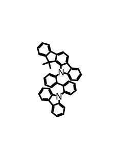 CC1(C)c2ccccc2-c2ccc3c4ccccc4n(-c4ccccc4-c4ccccc4-n4c5ccccc5c5ccccc54)c3c21